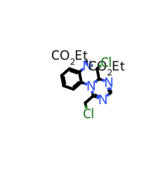 CCOC(=O)N(C(=O)OCC)c1ccccc1N1C(CCl)=NC=NC1CCl